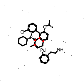 CC(C)Oc1cccc(OC(C)C)c1-c1cccc(Cl)c1P(C1CCCCC1)C1CCCCC1.NCCc1cccc[c]1[Pd]